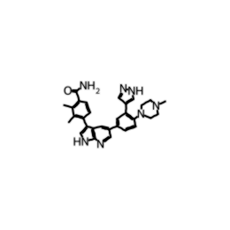 Cc1c(C(N)=O)ccc(-c2c[nH]c3ncc(-c4ccc(N5CCN(C)CC5)c(-c5cn[nH]c5)c4)cc23)c1C